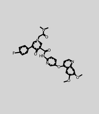 COc1cc2nccc(Oc3ccc(NC(=O)c4cn(CC(=O)N(C)C)cc(-c5ccc(F)cc5)c4=O)nc3)c2cc1OC